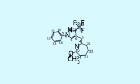 COC1=NC(Cc2cn(-c3ccccc3)nc2C(F)(F)F)CCCC1